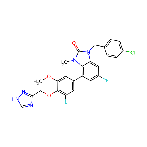 COc1cc(-c2cc(F)cc3c2n(C)c(=O)n3Cc2ccc(Cl)cc2)cc(F)c1OCc1nc[nH]n1